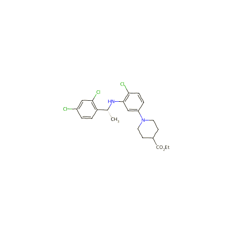 CCOC(=O)C1CCN(c2ccc(Cl)c(N[C@H](C)c3ccc(Cl)cc3Cl)c2)CC1